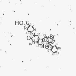 CN1C(=O)N(c2ccc(C(=O)O)cc2)Cc2c1cnc1c2cc(Br)n1S(=O)(=O)c1ccccc1